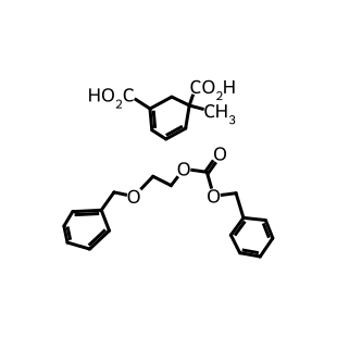 CC1(C(=O)O)C=CC=C(C(=O)O)C1.O=C(OCCOCc1ccccc1)OCc1ccccc1